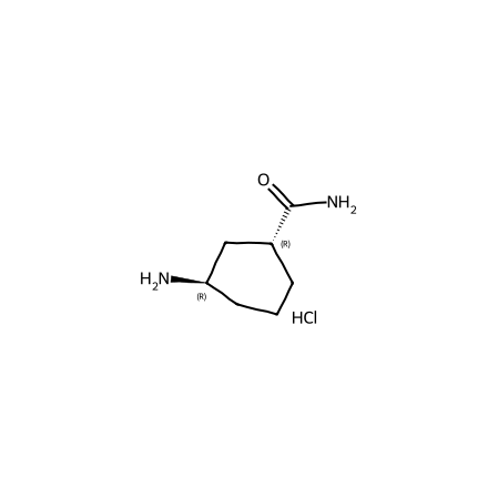 Cl.NC(=O)[C@@H]1CCC[C@@H](N)C1